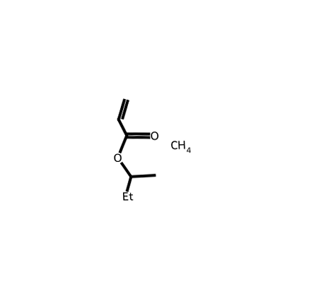 C.C=CC(=O)OC(C)CC